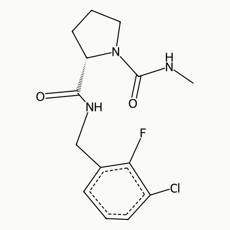 CNC(=O)N1CCC[C@H]1C(=O)NCc1cccc(Cl)c1F